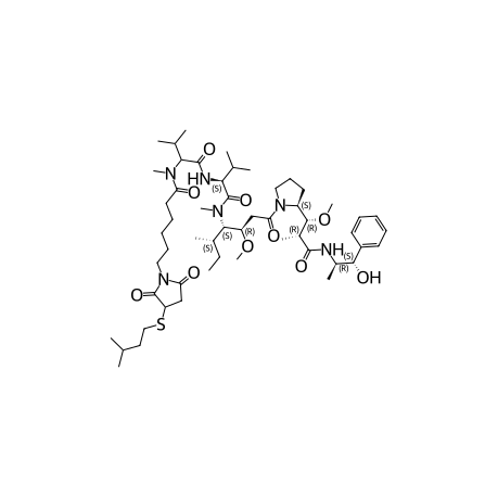 CC[C@H](C)[C@@H]([C@@H](CC(=O)N1CCC[C@H]1[C@H](OC)[C@@H](C)C(=O)N[C@H](C)[C@@H](O)c1ccccc1)OC)N(C)C(=O)[C@@H](NC(=O)C(C(C)C)N(C)C(=O)CCCCCN1C(=O)CC(SCCC(C)C)C1=O)C(C)C